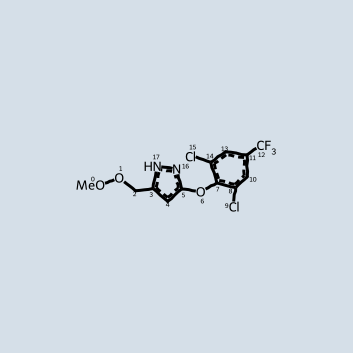 COOCc1cc(Oc2c(Cl)cc(C(F)(F)F)cc2Cl)n[nH]1